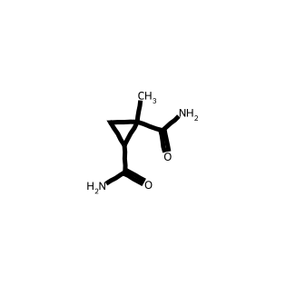 CC1(C(N)=O)CC1C(N)=O